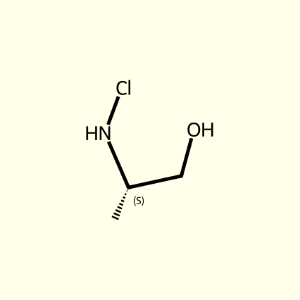 C[C@@H](CO)NCl